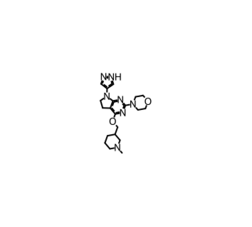 CN1CCCC(COc2nc(N3CCOCC3)nc3c2CCN3c2cn[nH]c2)C1